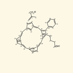 C=C(C)C(=O)O.CCCCCCCCCCCCOc1c(-c2ccccc2)c2cc3nc(cc4ccc(cc5nc(cc1[nH]2)C=C5)[nH]4)C=C3